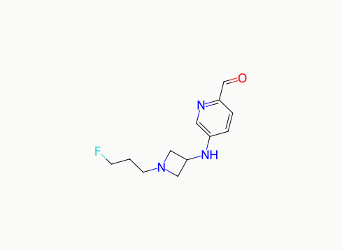 O=Cc1ccc(NC2CN(CCCF)C2)cn1